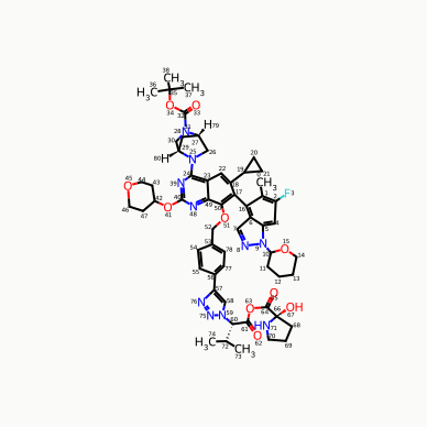 Cc1c(F)cc2c(cnn2C2CCCCO2)c1-c1c(C2CC2)cc2c(N3C[C@@H]4C[C@H]3CN4C(=O)OC(C)(C)C)nc(OC3CCOCC3)nc2c1OCc1ccc(-c2cn([C@H](C(=O)OC(=O)[C@]3(O)CCCN3)C(C)C)nn2)cc1